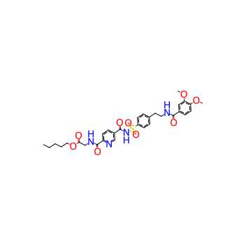 CCCCCOC(=O)CNC(=O)c1ccc(C(=O)NS(=O)(=O)c2ccc(CCNC(=O)c3ccc(OC)c(OC)c3)cc2)cn1